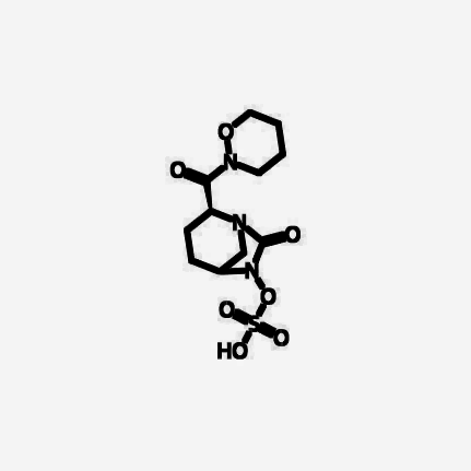 O=C([C@@H]1CCC2CN1C(=O)N2OS(=O)(=O)O)N1CCCCO1